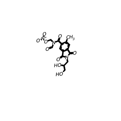 Cc1cc2c(cc1C(=O)N(C=O)CO[N+](=O)[O-])C(=O)N(CC(O)CO)C2=O